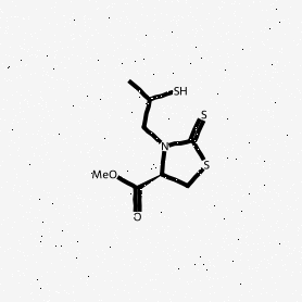 COC(=O)[C@@H]1CSC(=S)N1CC(C)S